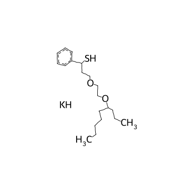 CCCCCC(CCC)OCCOCCC(S)c1ccccc1.[KH]